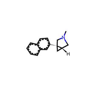 CN1C[C@@H]2C[C@@]2(c2ccc3ccccc3c2)C1